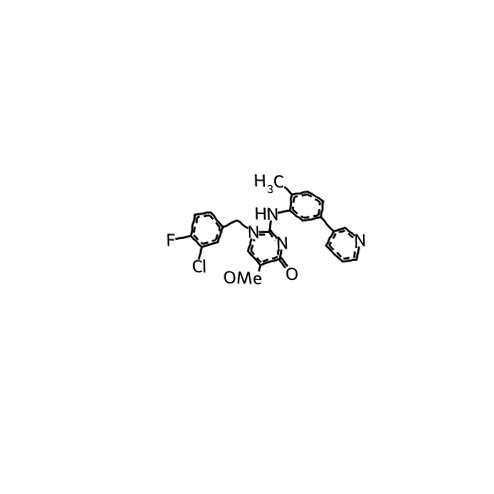 COc1cn(Cc2ccc(F)c(Cl)c2)c(Nc2cc(-c3cccnc3)ccc2C)nc1=O